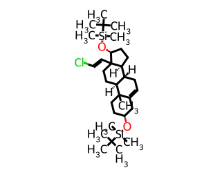 CC12CC[C@H](O[Si](C)(C)C(C)(C)C)CC1=CC[C@@H]1[C@@H]2CCC2(C=CCl)[C@@H](O[Si](C)(C)C(C)(C)C)CC[C@@H]12